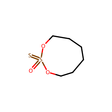 O=S1(=S)OCCCCCCO1